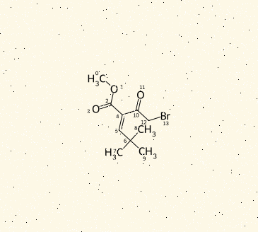 COC(=O)C(=CC(C)(C)C)C(=O)CBr